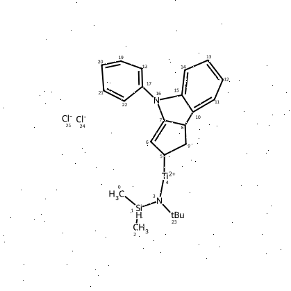 C[SiH](C)[N]([Ti+2][CH]1C=C2C(C1)c1ccccc1N2c1ccccc1)C(C)(C)C.[Cl-].[Cl-]